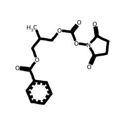 CC(COC(=O)ON1C(=O)CCC1=O)COC(=O)c1ccccc1